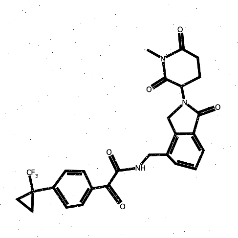 [CH2]N1C(=O)CCC(N2Cc3c(CNC(=O)C(=O)c4ccc(C5(C(F)(F)F)CC5)cc4)cccc3C2=O)C1=O